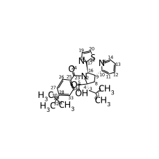 CC(C)C[C@@]1(C(=O)O)C[C@@H](c2ccccn2)[C@H](c2nccs2)N1C(=O)c1ccc(C(C)(C)C)cc1